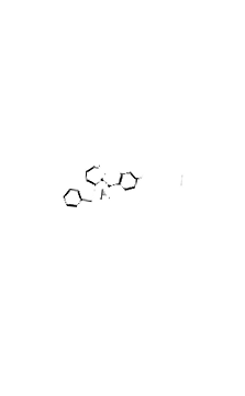 CC(c1ccccc1C(F)(F)F)n1nc(-c2ccc(C(=O)O)cc2F)c2ncccc21